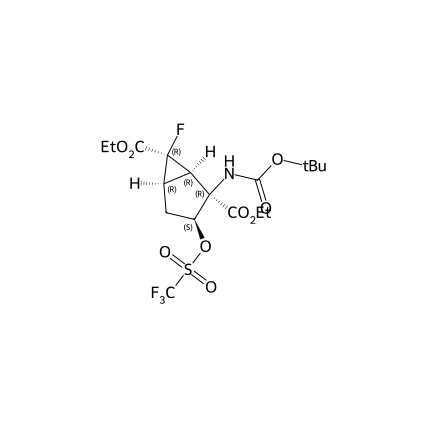 CCOC(=O)[C@@]1(F)[C@@H]2C[C@H](OS(=O)(=O)C(F)(F)F)[C@@](NC(=O)OC(C)(C)C)(C(=O)OCC)[C@@H]21